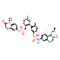 C=CCN1C(=O)CCc2cc(NS(=O)(=O)Cc3ccc(C)c(-c4cc(C)ccc4CS(=O)(=O)Nc4cc(F)c5c(c4)CCC(=O)N5CC)c3)cc(F)c21